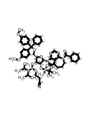 COc1ccc(C(OC[C@H]2O[C@@H](n3cc4c5c(ncnc53)N(C(=O)c3ccccc3)CCC4)[C@H](O[Si](C)(C)C(C)(C)C)[C@@H]2OP(OCCC#N)N(C(C)C)C(C)C)(c2ccccc2)c2ccc(OC)cc2)cc1